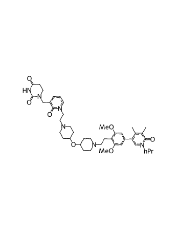 CCCn1cc(-c2cc(OC)c(CCN3CCC(OC4CCN(CCn5cccc(CN6CCC(=O)NC6=O)c5=O)CC4)CC3)c(OC)c2)c(C)c(C)c1=O